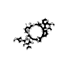 CCn1c(-c2cccnc2[C@H](C)OC)c2c3cc(ccc31)-c1csc(n1)C[C@H](NC(=O)[C@H](C(C)C)N(C)C(=O)N1CC(OC)C1)C(=O)N1CC[C@H](C)[C@H](N1)C(=O)OCC(C)(C)C2